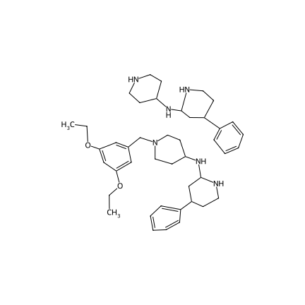 CCOc1cc(CN2CCC(NC3CC(c4ccccc4)CCN3)CC2)cc(OCC)c1.c1ccc(C2CCNC(NC3CCNCC3)C2)cc1